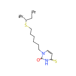 CC(C)CC(SCCCCCCn1ccc(=S)[nH]c1=O)C(C)C